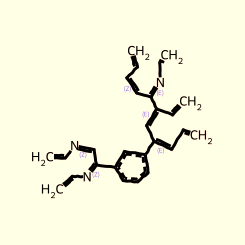 C=C\C=C/C(=N\C=C)C(/C=C)=C/C(=C\C=C)c1cccc(C(/C=N\C=C)=N/C=C)c1